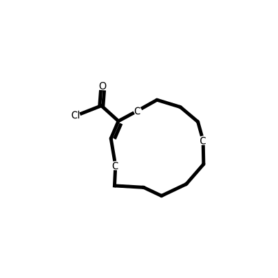 O=C(Cl)/C1=C/CCCCCCCCCCC1